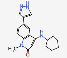 Cn1c(=O)cc(NC2CCCCC2)c2cc(-c3cn[nH]c3)ccc21